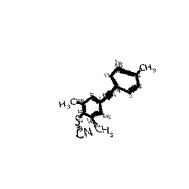 Cc1ccc(C#Cc2cc(C)c(SC#N)c(C)c2)cc1